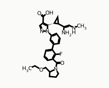 CCOCC1CCCN1C(=O)c1cccc(-c2cccc(-n3ncc(C(=O)O)c3[C@@H]3CC3/C(N)=C/NC)c2)c1F